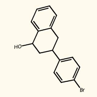 OC1CC(c2ccc(Br)cc2)Cc2ccccc21